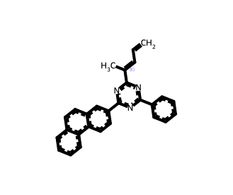 C=C/C=C(\C)c1nc(-c2ccccc2)nc(-c2ccc3c(ccc4ccccc43)c2)n1